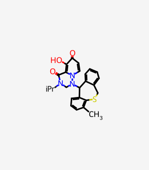 Cc1cccc2c1SCc1ccccc1C2N1CN(C(C)C)C(=O)c2c(O)c(=O)ccn21